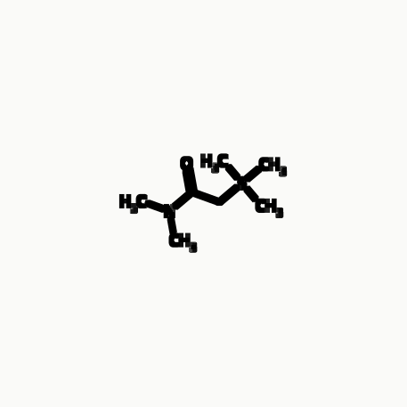 CN(C)C(=O)CS(C)(C)C